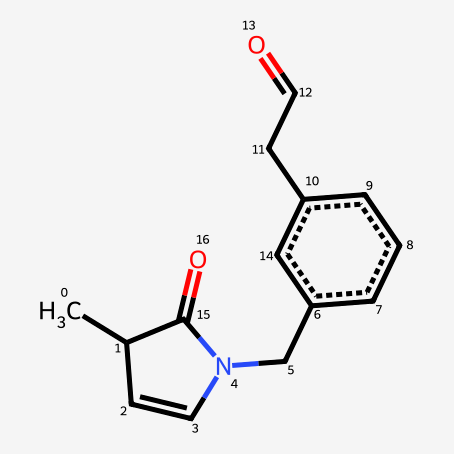 CC1C=CN(Cc2cccc(CC=O)c2)C1=O